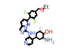 CCOCc1cc(F)c(-c2ccc3cnc(Nc4cnccc4C4C[C@@H](N)[C@H](O)[C@@H](C)C4)n3n2)c(F)c1